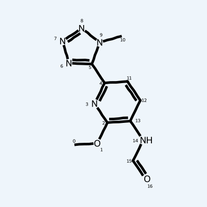 COc1nc(-c2nnnn2C)ccc1NC=O